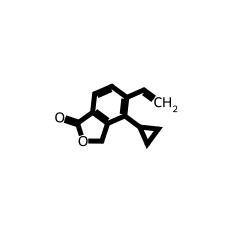 C=Cc1ccc2c(c1C1CC1)COC2=O